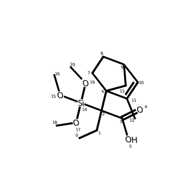 CCC(C(=O)O)(C12CCC(C=C1C)C2)[Si](OC)(OC)OC